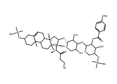 COc1ccc(C(=O)OC2C(OC3C(O)CO[C@H](OC4C[C@H]5C6CC=C7CC(O[Si](C)(C)C(C)(C)C)CCC7(C)C6CCC5(C)[C@@]4(O)[C@H](C)C(=O)CCC(C)C)C3OC(C)=O)OCC(O[Si](C)(C)C(C)(C)C)C2O)cc1